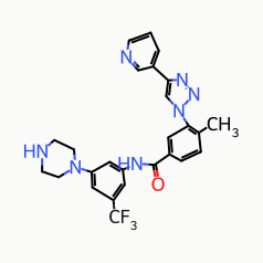 Cc1ccc(C(=O)Nc2cc(N3CCNCC3)cc(C(F)(F)F)c2)cc1-n1cc(-c2cccnc2)nn1